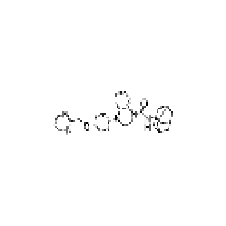 O=C(NC12CC3CC(CC(C3)C1)C2)N1CCN(c2ccc(OCc3ncccn3)cc2)c2ccccc21